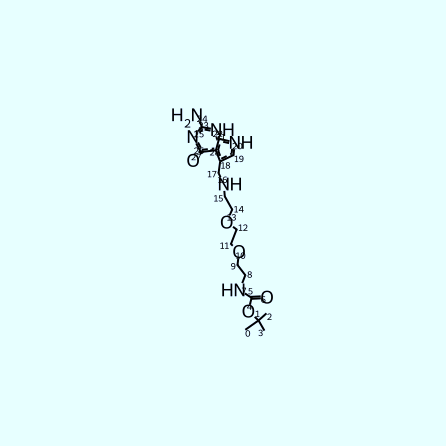 CC(C)(C)OC(=O)NCCOCCOCCNCc1c[nH]c2[nH]c(N)nc(=O)c12